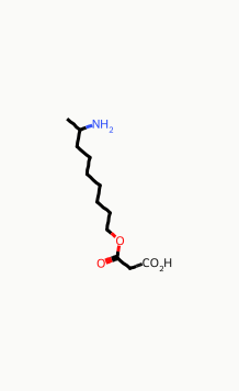 CC(N)CCCCCCCOC(=O)CC(=O)O